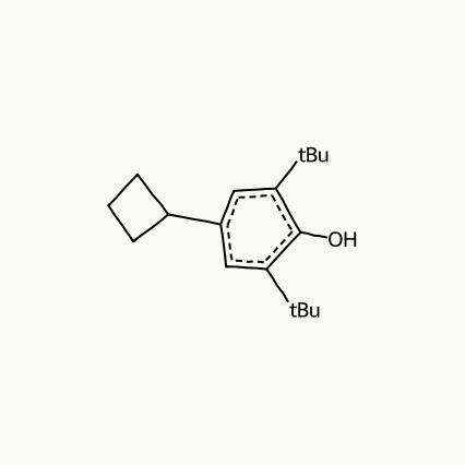 CC(C)(C)c1cc(C2CCC2)cc(C(C)(C)C)c1O